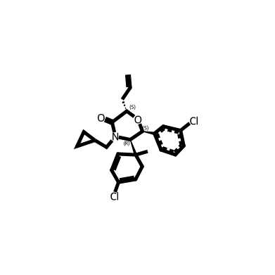 C=CC[C@@H]1O[C@@H](c2cccc(Cl)c2)[C@@H](C2(C)C=CC(Cl)=CC2)N(CC2CC2)C1=O